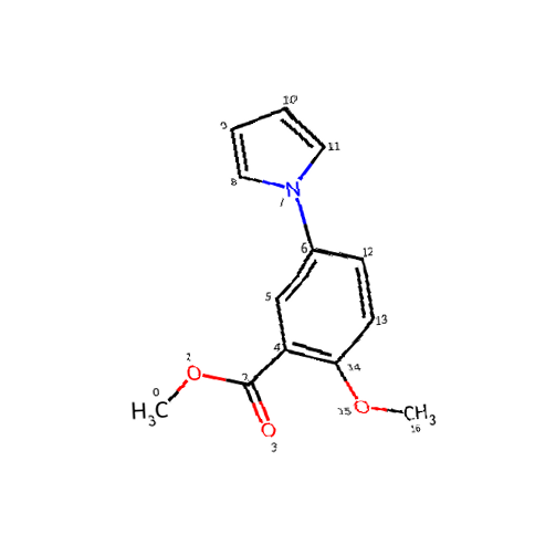 COC(=O)c1cc(-n2cccc2)ccc1OC